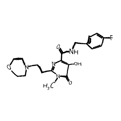 Cn1c(CCN2CCOCC2)nc(C(=O)NCc2ccc(F)cc2)c(O)c1=O